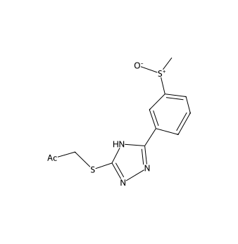 CC(=O)CSc1nnc(-c2cccc([S+](C)[O-])c2)[nH]1